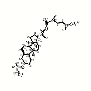 C/C(=N\OC(=O)N(C)CCN(C)C(=O)O)[C@H]1CC[C@H]2[C@@H]3CC=C4C[C@@H](O[Si](C)(C)C(C)(C)C)CC[C@]4(C)[C@H]3CC[C@]12C